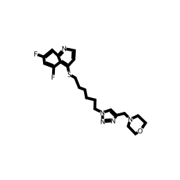 Fc1cc(F)c2c(SCCCCCCn3cc(CN4CCOCC4)nn3)ccnc2c1